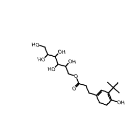 CC(C)(C)C1=C(O)CCC(CCC(=O)OCC(O)C(O)C(O)C(O)CO)=C1